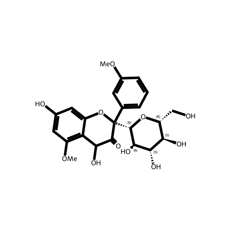 COc1cccc(C2([C@@H]3O[C@H](CO)[C@@H](O)[C@H](O)[C@H]3O)Oc3cc(O)cc(OC)c3C(O)C2=O)c1